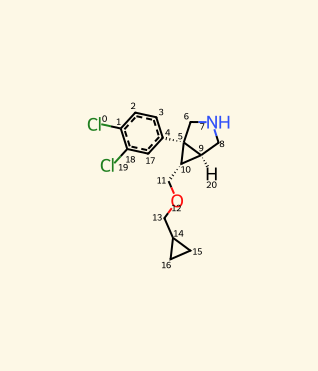 Clc1ccc([C@]23CNC[C@H]2[C@@H]3COCC2CC2)cc1Cl